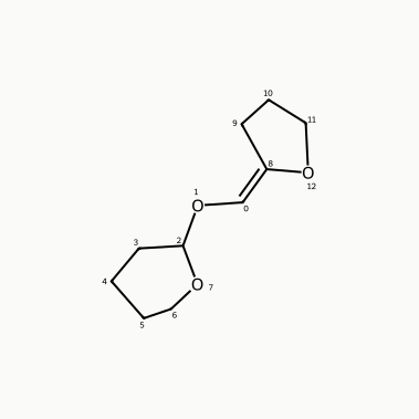 C(OC1CCCCO1)=C1CCCO1